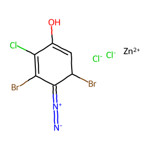 [Cl-].[Cl-].[N-]=[N+]=C1C(Br)=C(Cl)C(O)=CC1Br.[Zn+2]